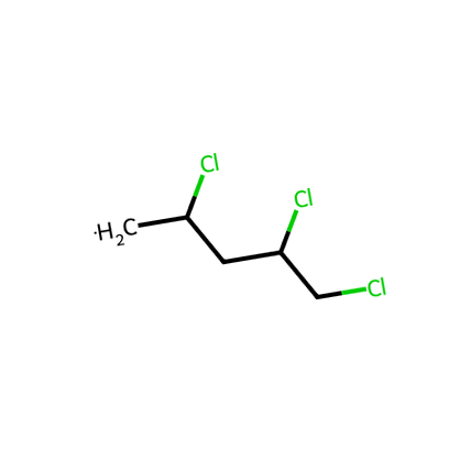 [CH2]C(Cl)CC(Cl)CCl